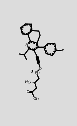 CC(C)c1nc2c(c(-c3ccc(F)cc3)c1C#CO[PH](=O)C[C@@H](O)CC(=O)O)CCc1ccccc1-2